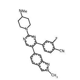 CNC1CCN(c2ncc(-c3ccc4cn(C)nc4c3)c(-c3ccc(C#N)c(F)c3)n2)CC1